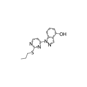 CCCSc1nccc(-n2ncc3c(O)cccc32)n1